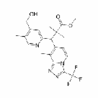 COC(=O)C(C)(C)C(c1cc(CO)c(C)cn1)c1ccn2c(C(F)(F)F)nnc2c1C